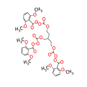 COc1cccc(OC)c1C(=O)OOC(=O)OCCC(CCOC(=O)OOC(=O)c1c(OC)cccc1OC)COC(=O)OOC(=O)c1c(OC)cccc1OC